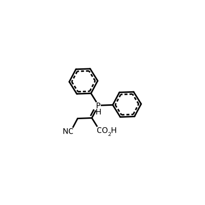 N#CCC(C(=O)O)=[PH](c1ccccc1)c1ccccc1